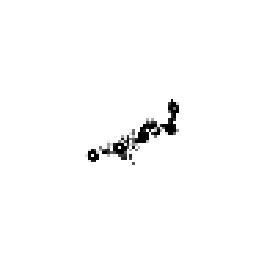 O=C(NS(=O)(=O)c1ccc(NCCSc2ccccc2)c([N+](=O)[O-])c1)c1ccc2c(c1)CC[C@@H]1CN(Cc3ccccc3CCc3ccccc3)CCN21